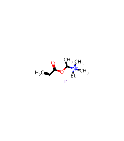 C=CC(=O)OC(C)[N+](C)(C)CC.[I-]